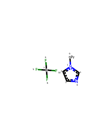 CCCn1ccnc1.F[B-](F)(F)F